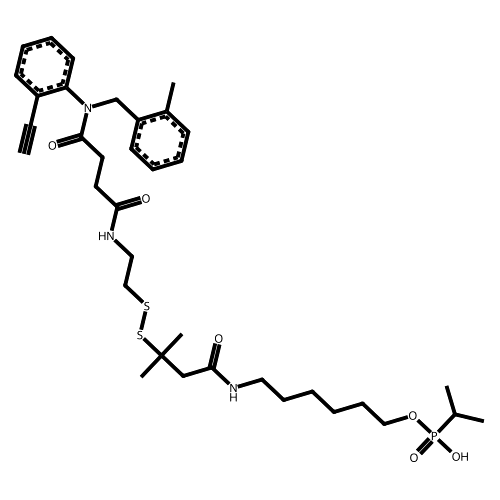 C#Cc1ccccc1N(Cc1ccccc1C)C(=O)CCC(=O)NCCSSC(C)(C)CC(=O)NCCCCCCOP(=O)(O)C(C)C